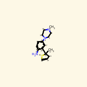 CN1CCN(c2ccc(N)c(C3(C)CC=CS3)c2)CC1